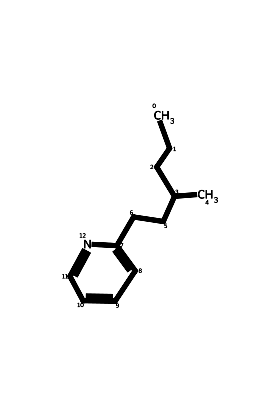 CCCC(C)CCc1ccccn1